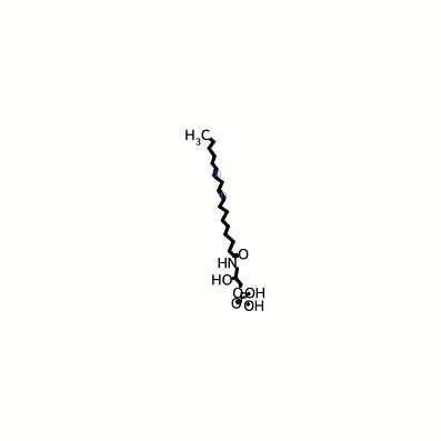 CCCCC/C=C/C/C=C/CCCCCCCC(=O)NCC(O)COP(=O)(O)O